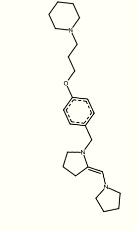 C(=C1/CCCN1Cc1ccc(OCCCN2CCCCC2)cc1)/N1CCCC1